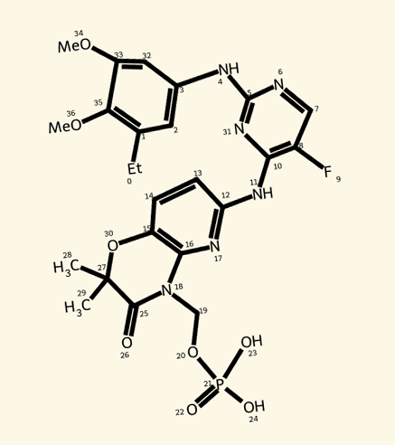 CCc1cc(Nc2ncc(F)c(Nc3ccc4c(n3)N(COP(=O)(O)O)C(=O)C(C)(C)O4)n2)cc(OC)c1OC